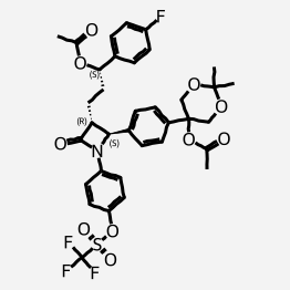 CC(=O)O[C@@H](CC[C@H]1C(=O)N(c2ccc(OS(=O)(=O)C(F)(F)F)cc2)[C@@H]1c1ccc(C2(OC(C)=O)COC(C)(C)OC2)cc1)c1ccc(F)cc1